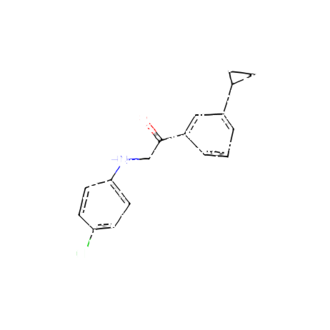 O=C(CNc1ccc(Cl)cc1)c1cccc(C2CC2)c1